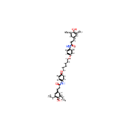 CC(C)Cc1cc(CCC(=O)Nc2ccc(OCCCCCCOc3ccc(NC(=O)CCc4cc(C(C)(C)C)c(O)c(C(C)(C)C)c4)cc3)cc2)cc(CC(C)C)c1O